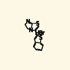 Br.C1=C(c2cc3ccccc3s2)N2CCN=C2S1